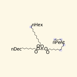 CCCCC/C=C\C/C=C\C/C=C\C/C=C\CCCCCC(=O)OC[C@H](COC(=O)CCCCCCCCCCCCCCCCC)OC(=O)CCCCCCCCC/C=C\CCCCCC